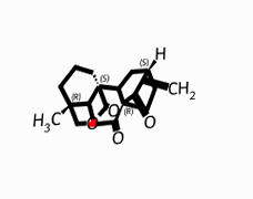 C=C1C(=O)[C@]23CC[C@H]1CC2[C@@]12CCC[C@@](C)(COC1=O)C2CC3=O